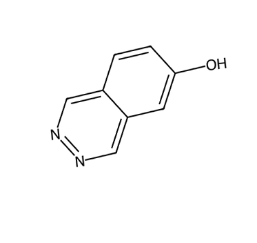 Oc1ccc2cnncc2c1